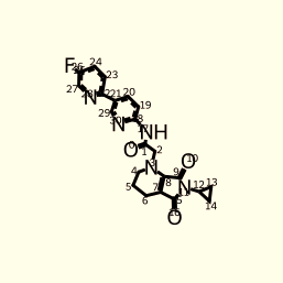 O=C(CN1CCCC2=C1C(=O)N(C1CC1)C2=O)Nc1ccc(-c2ccc(F)cn2)cn1